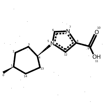 C[C@H]1CC[C@@H](n2cnc(C(=O)O)c2)CC1